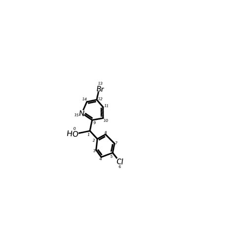 OC(c1ccc(Cl)cc1)c1ccc(Br)cn1